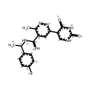 Cc1nnc(-c2c[nH]c(=O)[nH]c2=O)cc1C(=P)NC(C)c1ccc(F)cc1